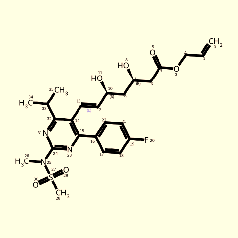 C=CCOC(=O)C[C@H](O)C[C@H](O)/C=C/c1c(-c2ccc(F)cc2)nc(N(C)S(C)(=O)=O)nc1C(C)C